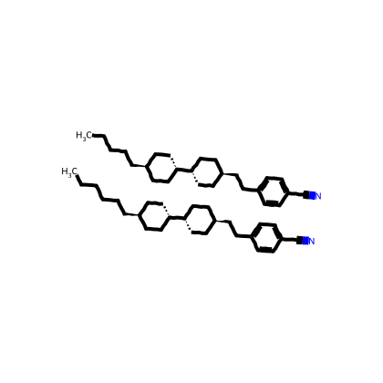 CCCCCC[C@H]1CC[C@H]([C@H]2CC[C@H](CCc3ccc(C#N)cc3)CC2)CC1.CCCCC[C@H]1CC[C@H]([C@H]2CC[C@H](CCc3ccc(C#N)cc3)CC2)CC1